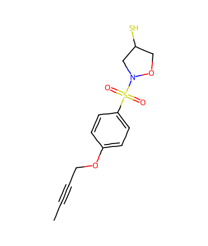 CC#CCOc1ccc(S(=O)(=O)N2CC(S)CO2)cc1